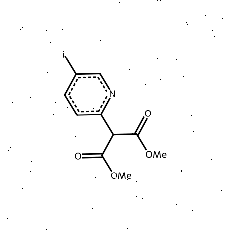 COC(=O)C(C(=O)OC)c1ccc(I)cn1